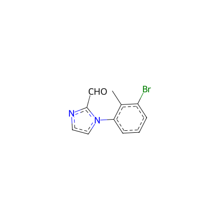 Cc1c(Br)cccc1-n1ccnc1C=O